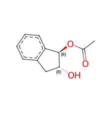 CC(=O)O[C@@H]1c2ccccc2C[C@H]1O